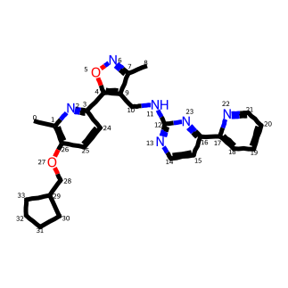 Cc1nc(-c2onc(C)c2CNc2nccc(-c3ccccn3)n2)ccc1OCC1CCCC1